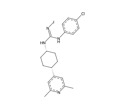 Cc1cc([C@H]2CC[C@@H](N/C(=N/I)Nc3ccc(Cl)cc3)CC2)cc(C)n1